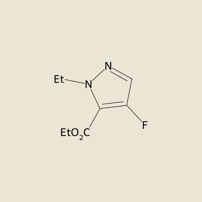 CCOC(=O)c1c(F)cnn1CC